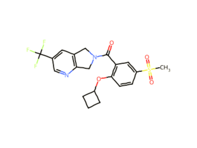 CS(=O)(=O)c1ccc(OC2CCC2)c(C(=O)N2Cc3cc(C(F)(F)F)cnc3C2)c1